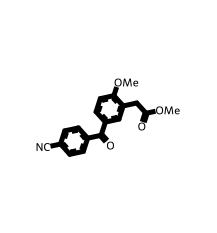 COC(=O)Cc1cc(C(=O)c2ccc(C#N)cc2)ccc1OC